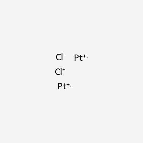 [Cl-].[Cl-].[Pt+].[Pt+]